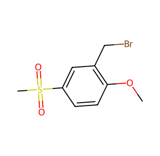 COc1ccc(S(C)(=O)=O)cc1CBr